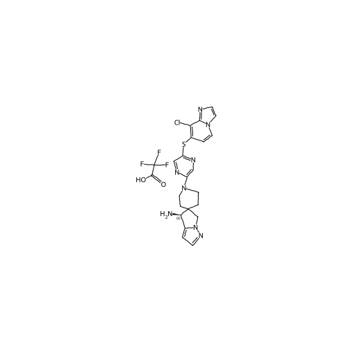 N[C@@H]1c2ccnn2CC12CCN(c1cnc(Sc3ccn4ccnc4c3Cl)cn1)CC2.O=C(O)C(F)(F)F